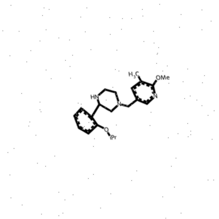 COc1ncc(CN2CCNC(c3ccccc3OC(C)C)C2)cc1C